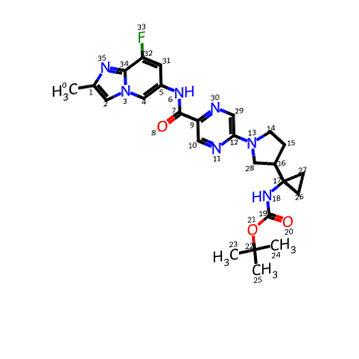 Cc1cn2cc(NC(=O)c3cnc(N4CCC(C5(NC(=O)OC(C)(C)C)CC5)C4)cn3)cc(F)c2n1